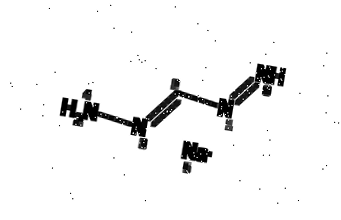 N=NC=NN.[Na]